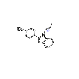 C/C=C/n1c(-c2ccc(C(C)CC)cc2)cc2ccccc21